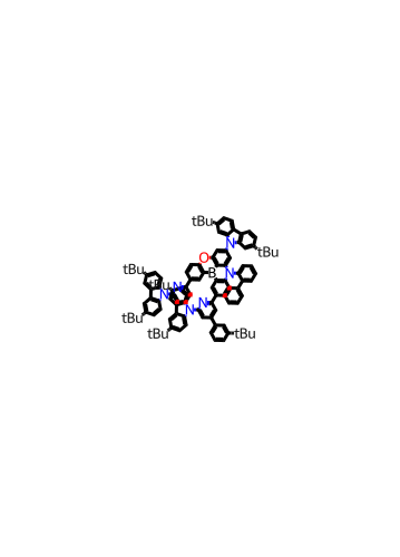 CC(C)(C)c1cccc(-c2cc(-c3ccc4c(c3)B3c5cc(-c6cccc(-n7c8ccc(C(C)(C)C)cc8c8cc(C(C)(C)C)ccc87)n6)ccc5Oc5cc(-n6c7cc(C(C)(C)C)ccc7c7ccc(C(C)(C)C)cc76)cc(c53)N4c3ccccc3-c3ccccc3)nc(-n3c4ccc(C(C)(C)C)cc4c4cc(C(C)(C)C)ccc43)c2)c1